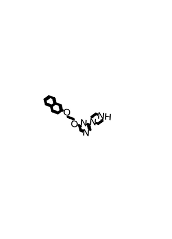 c1ccc2cc(OCCOc3cncc(N4CCNCC4)n3)ccc2c1